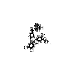 Cn1c(=Nc2ccc(OC(F)(F)F)c(Br)c2)n(Cc2ccc(C(=O)Nc3nnn[nH]3)cc2)c2cc(Cl)c(Cl)cc21